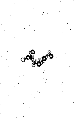 O=C(NCc1nn(C2CCCCO2)c2ccc(Cl)cc12)c1cccc(C(F)(F)c2ccc(Cn3ccccc3=O)cc2)c1